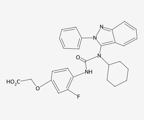 O=C(O)COc1ccc(NC(=O)N(c2c3ccccc3nn2-c2ccccc2)C2CCCCC2)c(F)c1